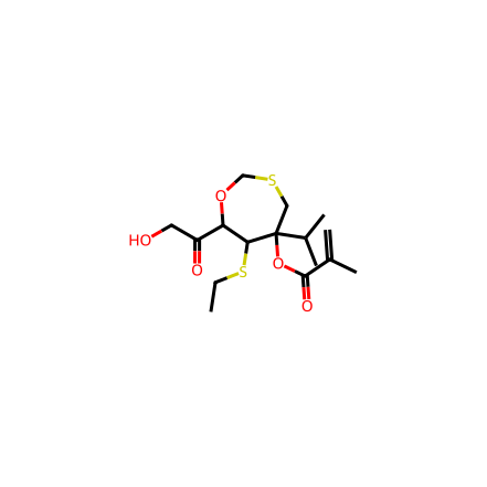 C=C(C)C(=O)OC1(C(C)C)CSCOC(C(=O)CO)C1SCC